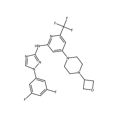 Fc1cc(F)cc(-n2cnc(Nc3cc(N4CCN(C5COC5)CC4)cc(C(F)(F)F)n3)n2)c1